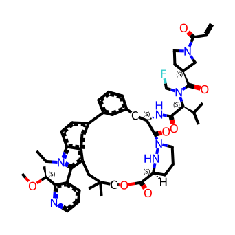 C=CC(=O)N1CC[C@H](C(=O)N(CF)[C@H](C(=O)N[C@H]2Cc3cccc(c3)-c3ccc4c(c3)c(c(-c3cccnc3[C@H](C)OC)n4CC)CC(C)(C)COC(=O)[C@@H]3CCCN(N3)C2=O)C(C)C)C1